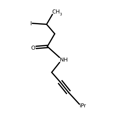 CC(C)C#CCNC(=O)CC(C)I